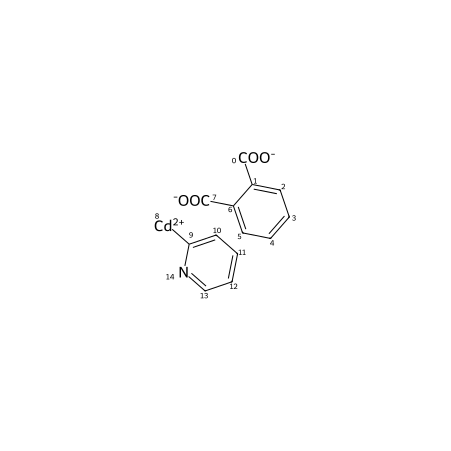 O=C([O-])c1ccccc1C(=O)[O-].[Cd+2][c]1ccccn1